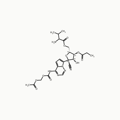 CCC(=O)O[C@H]1[C@@H](O)[C@](C#N)(c2ccc3c(NC(=O)OCOC(C)=O)ncnn23)O[C@@H]1COC(=O)C(N)C(C)C